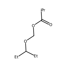 CCC(CC)OCOC(=O)C(C)C